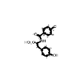 O=C(N[C@@H](Cc1ccc(O)cc1)C(=O)O)c1ccc(Cl)cc1